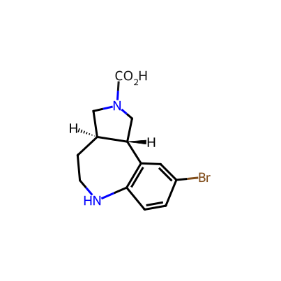 O=C(O)N1C[C@@H]2CCNc3ccc(Br)cc3[C@H]2C1